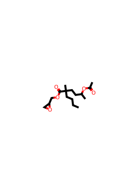 CCCCC(C)(CCC(C)OC(C)=O)C(=O)OCC1CO1